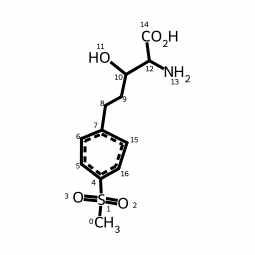 CS(=O)(=O)c1ccc(CCC(O)C(N)C(=O)O)cc1